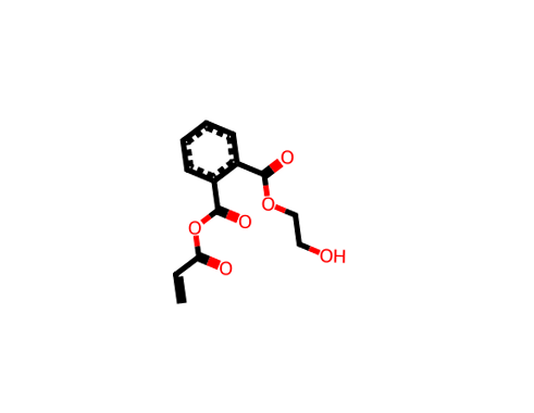 C=CC(=O)OC(=O)c1ccccc1C(=O)OCCO